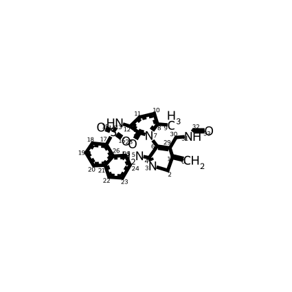 C=C1CN=C(N)C(n2c(C)ccc(NS(=O)(=O)c3cccc4ccccc34)c2=O)=C1CNC=O